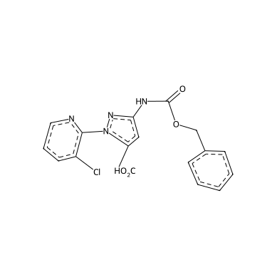 O=C(Nc1cc(C(=O)O)n(-c2ncccc2Cl)n1)OCc1ccccc1